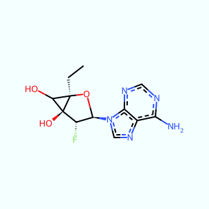 CC[C@]12O[C@@H](n3cnc4c(N)ncnc43)[C@H](F)[C@]1(O)C2O